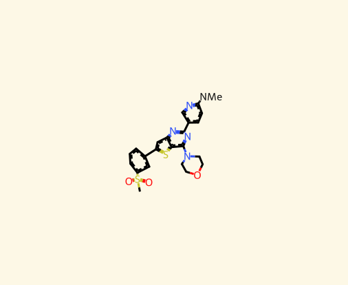 CNc1ccc(-c2nc(N3CCOCC3)c3sc(-c4cccc(S(C)(=O)=O)c4)cc3n2)cn1